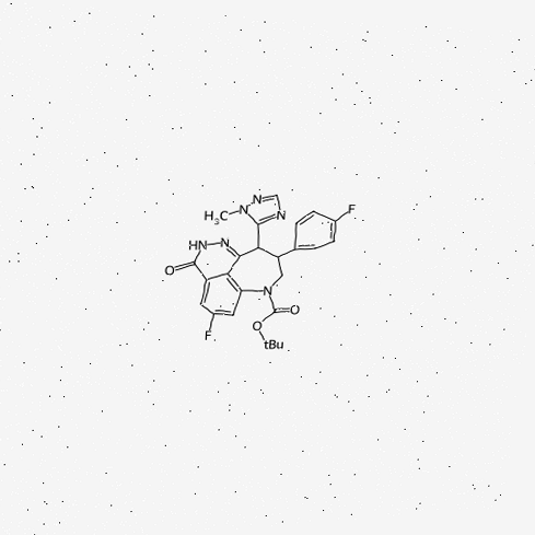 Cn1ncnc1C1c2n[nH]c(=O)c3cc(F)cc(c23)N(C(=O)OC(C)(C)C)CC1c1ccc(F)cc1